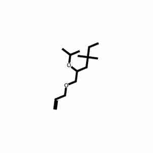 C=CCOCC(CC(C)(C)CC)OC(C)C